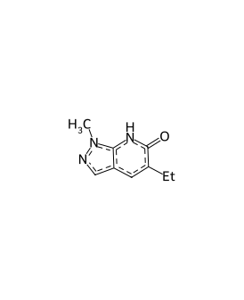 CCc1cc2cnn(C)c2[nH]c1=O